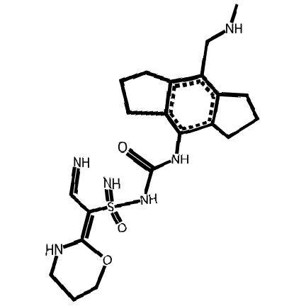 CNCc1c2c(c(NC(=O)NS(=N)(=O)/C(C=N)=C3/NCCCO3)c3c1CCC3)CCC2